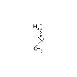 CCCCC[C@H]1CC[C@H](CCCCC)S1